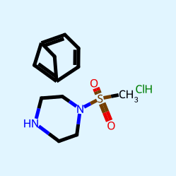 CS(=O)(=O)N1CCNCC1.Cl.c1cc2cc(c1)C2